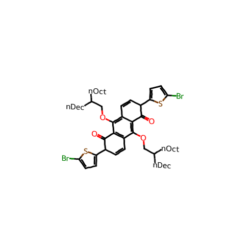 CCCCCCCCCCC(CCCCCCCC)COc1c2c(c(OCC(CCCCCCCC)CCCCCCCCCC)c3c1C(=O)C(c1ccc(Br)s1)C=C3)C(=O)C(c1ccc(Br)s1)C=C2